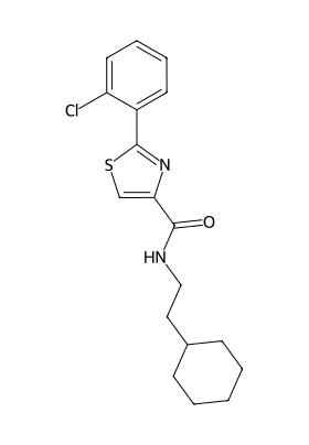 O=C(NCCC1CCCCC1)c1csc(-c2ccccc2Cl)n1